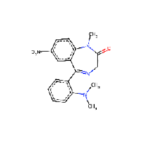 CN(C)c1ccccc1C1=NCC(=O)N(C)c2ccc([N+](=O)[O-])cc21